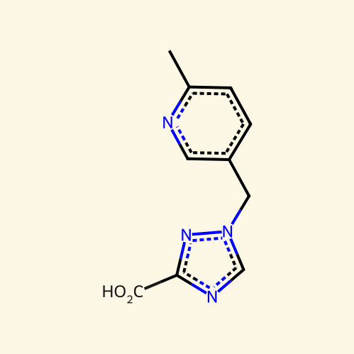 Cc1ccc(Cn2cnc(C(=O)O)n2)cn1